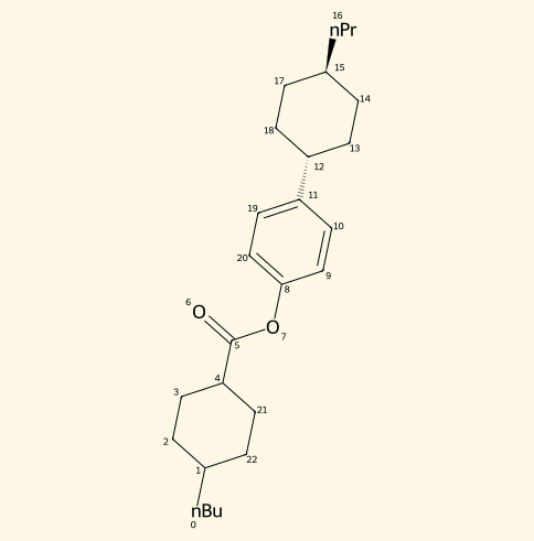 CCCCC1CCC(C(=O)Oc2ccc([C@H]3CC[C@H](CCC)CC3)cc2)CC1